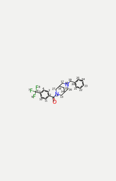 O=C(c1ccc(C(F)(F)F)cc1)N1CC2CC(CN(Cc3ccccc3)C2)C1